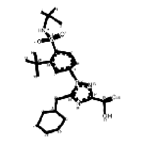 CC(C)(C)NS(=O)(=O)c1ccc(-n2nc(C(=O)O)nc2CC2CCCCC2)cc1C(C)(C)C